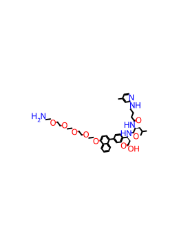 Cc1ccnc(NCCCC(=O)N[C@@H](CC(C)C)C(=O)N[C@@H](CC(=O)O)c2ccc(-c3ccc(OCCOCCOCCOCCOCCN)c4ccccc34)cc2)c1